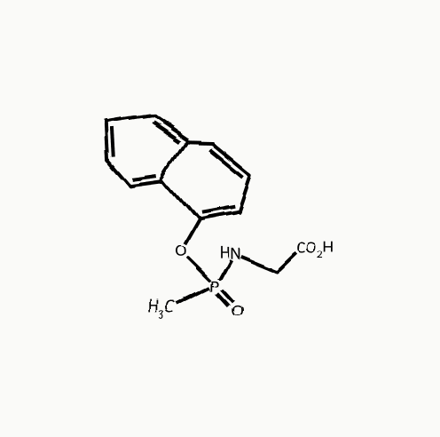 CP(=O)(NCC(=O)O)Oc1cccc2ccccc12